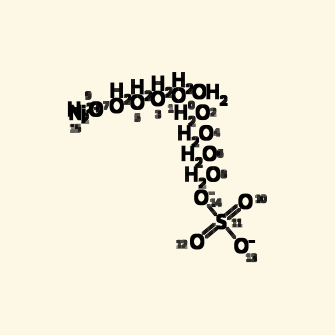 O.O.O.O.O.O.O.O.O.O.O=S(=O)([O-])[O-].[Ni+2]